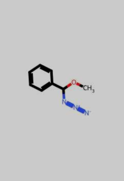 COC(N=[N+]=[N-])c1ccccc1